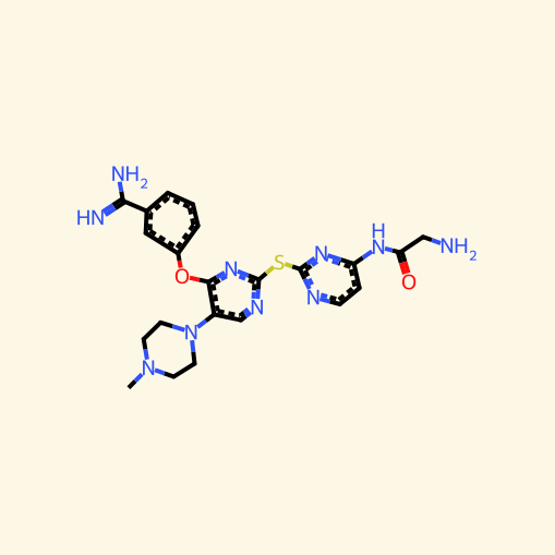 CN1CCN(c2cnc(Sc3nccc(NC(=O)CN)n3)nc2Oc2cccc(C(=N)N)c2)CC1